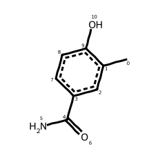 Cc1cc(C(N)=O)ccc1O